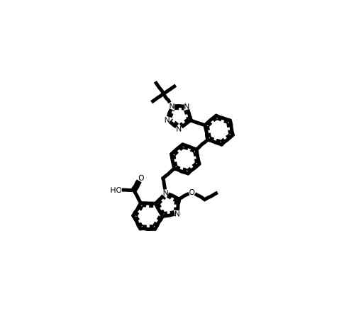 CCOc1nc2cccc(C(=O)O)c2n1Cc1ccc(-c2ccccc2-c2nnn(C(C)(C)C)n2)cc1